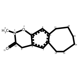 CN1Oc2cc3c(cc2CC1=O)CCCCCC3